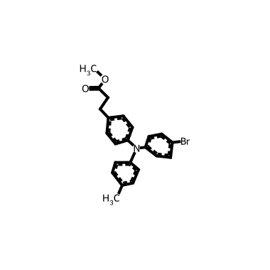 COC(=O)CCc1ccc(N(c2ccc(C)cc2)c2ccc(Br)cc2)cc1